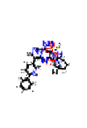 CS(=O)(=O)c1c(C2CC3CC[C@@H](C2)N3C(=O)NO)nc2c(-c3ccc(-c4ccccc4)nc3)cnn2c1N